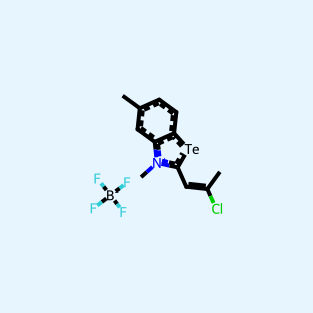 C/C(Cl)=C\c1[te]c2ccc(C)cc2[n+]1C.F[B-](F)(F)F